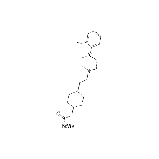 CNC(=O)CC1CCC(CCN2CCN(c3ccccc3F)CC2)CC1